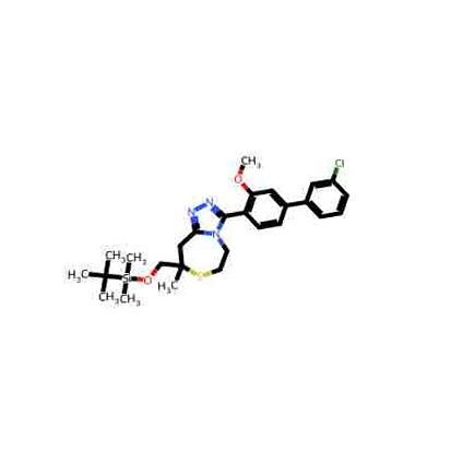 COc1cc(-c2cccc(Cl)c2)ccc1-c1nnc2n1CCSC(C)(CO[Si](C)(C)C(C)(C)C)C2